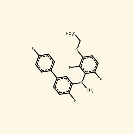 CN(c1cc(-c2ccc(F)cc2)ccc1F)c1c(F)ccc(OCC(=O)O)c1F